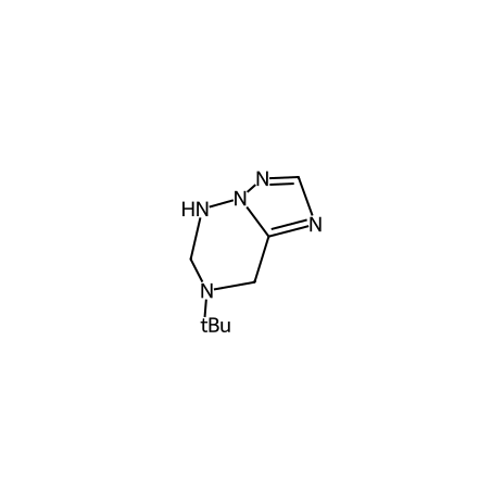 CC(C)(C)N1CNn2ncnc2C1